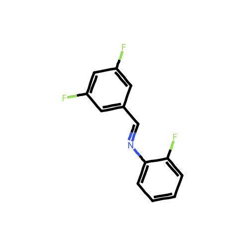 Fc1cc(F)cc(C=Nc2ccccc2F)c1